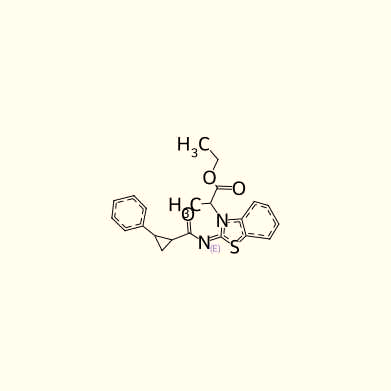 CCOC(=O)C(C)n1/c(=N\C(=O)C2CC2c2ccccc2)sc2ccccc21